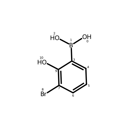 OB(O)c1cccc(Br)c1O